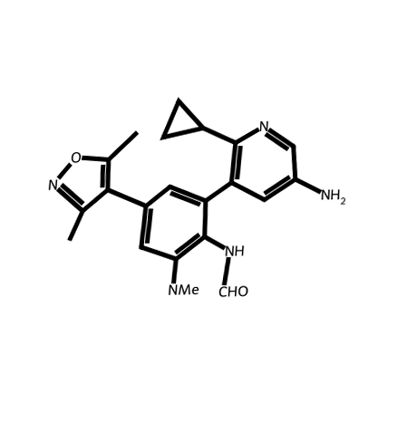 CNc1cc(-c2c(C)noc2C)cc(-c2cc(N)cnc2C2CC2)c1NC=O